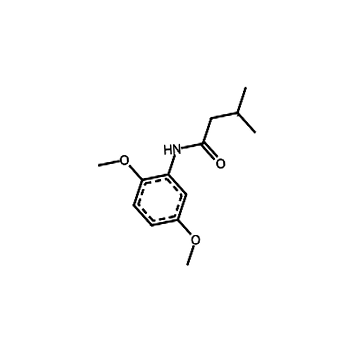 COc1ccc(OC)c(NC(=O)C[C](C)C)c1